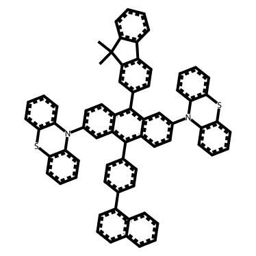 CC1(C)c2ccccc2-c2ccc(-c3c4ccc(N5c6ccccc6Sc6ccccc65)cc4c(-c4ccc(-c5cccc6ccccc56)cc4)c4ccc(N5c6ccccc6Sc6ccccc65)cc34)cc21